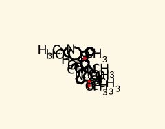 CC[C@]1(O)C[C@@H]2CN(CCc3c([nH]c4ccccc34)[C@@](C(=O)OC)(c3cc4c(cc3OC)N(C)C3C45CCN4CC=C[C@](CC)(C45)[C@@H](OC)[C@]3(O)OC(C)=O)C2)C1